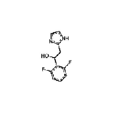 OC(Cc1ncc[nH]1)c1c(F)cccc1F